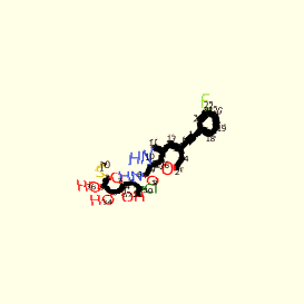 CSC1OC(C(NC(=O)C2NCC3C=C(C#Cc4cccc(F)c4)CCOC32)C(C)Cl)C(O)C(O)C1O